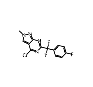 Cn1cc2c(Cl)nc(C(F)(F)c3ccc(F)cc3)nc2n1